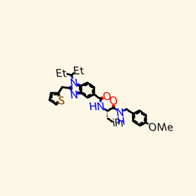 CCC(CC)n1c(Cc2cccs2)nc2cc(C(=O)N[C@@H](CC(C)C)C(=O)NCc3ccc(OC)cc3)ccc21